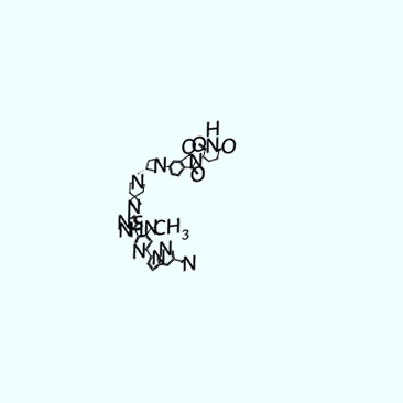 CNc1cc(-c2ccc3cc(C#N)cnn23)ncc1-c1nnc(N2CC3(CCN(C[C@@H]4CCN(c5ccc6c(c5)C(=O)N(C5CCC(=O)NC5=O)C6=O)C4)CC3)C2)s1